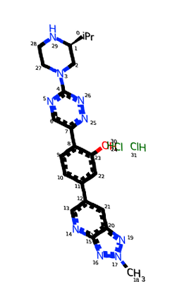 CC(C)[C@H]1CN(c2ncc(-c3ccc(-c4cnc5nn(C)nc5c4)cc3O)nn2)CCN1.Cl.Cl